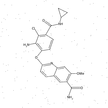 COc1cc2nc(Oc3ccc(C(=O)NC4CC4)c(Cl)c3N)ccc2cc1C(N)=O